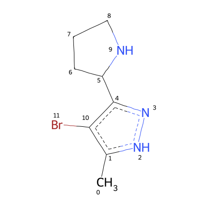 Cc1[nH]nc(C2CCCN2)c1Br